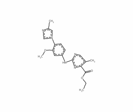 CCOC(=O)c1nc(Nc2ccc(-n3cnc(C)c3)c(OC)c2)ncc1C